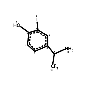 NC(c1ccc(O)c(I)c1)C(F)(F)F